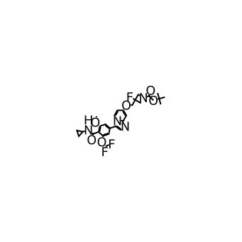 COc1cc(-c2cnc3cc(OCC4(F)CN(C(=O)OC(C)(C)C)C4)ccn23)cc(OC(F)F)c1C(=O)NC1CC1